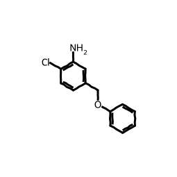 Nc1cc(COc2ccccc2)ccc1Cl